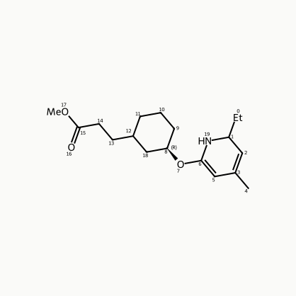 CCC1C=C(C)C=C(O[C@@H]2CCCC(CCC(=O)OC)C2)N1